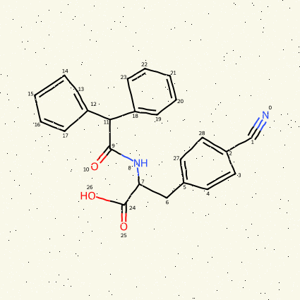 N#Cc1ccc(CC(NC(=O)C(c2ccccc2)c2ccccc2)C(=O)O)cc1